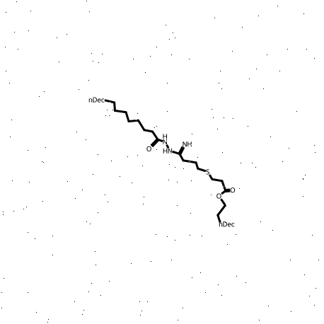 CCCCCCCCCCCCCCCCCC(=O)NNC(=N)CCCSCCC(=O)OCCCCCCCCCCCC